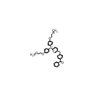 COCCOc1ccc([S+](c2ccc(OCCOC)cc2)c2ccc(Sc3ccc(C(=O)c4ccccc4)cc3)cc2)cc1